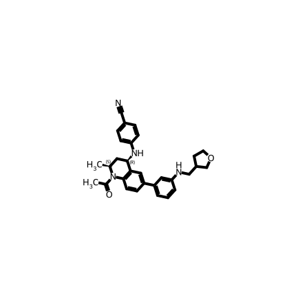 CC(=O)N1c2ccc(-c3cccc(NCC4CCOC4)c3)cc2[C@H](Nc2ccc(C#N)cc2)C[C@@H]1C